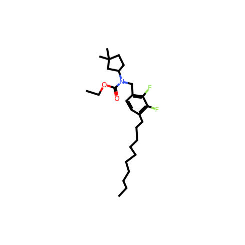 CCCCCCCCCCc1ccc(CN(C(=O)OCC)C2CCC(C)(C)C2)c(F)c1F